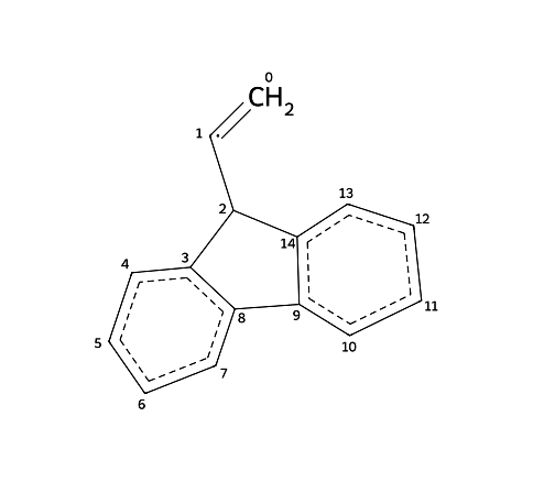 C=[C]C1c2ccccc2-c2ccccc21